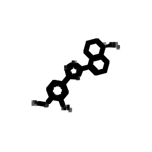 CC(C)Oc1ccc(-c2nnc(C3=CCCC4=C3CCC[C@@H]4N)s2)cc1N